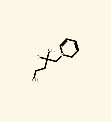 CCCC(C)(O)CN1C=CC=CC1